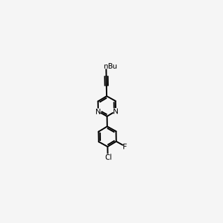 CCCCC#Cc1cnc(-c2ccc(Cl)c(F)c2)nc1